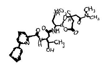 CC(C)CC(NC(=O)C(NC(=O)c1cccc(-c2ccccc2)n1)C(C)O)B1OC(=O)C[C@](CC(=O)N(C)C)(C(=O)O)O1